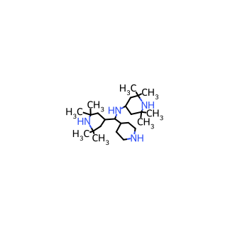 CC1(C)CC(NC(C2CCNCC2)C2CC(C)(C)NC(C)(C)C2)CC(C)(C)N1